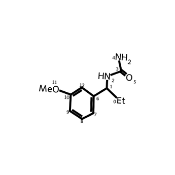 CCC(NC(N)=O)c1cccc(OC)c1